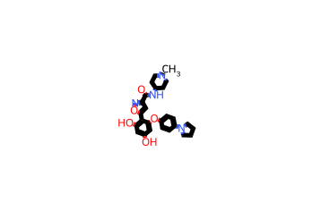 CN1CCC(NC(=O)c2cc(-c3c(O)cc(O)cc3Oc3ccc(N4CCCC4)cc3)on2)CC1